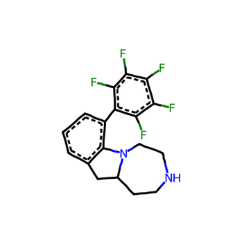 Fc1c(F)c(F)c(-c2cccc3c2N2CCNCCC2C3)c(F)c1F